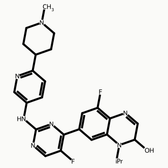 CC(C)N1c2cc(-c3nc(Nc4ccc(C5CCN(C)CC5)nc4)ncc3F)cc(F)c2N=CC1O